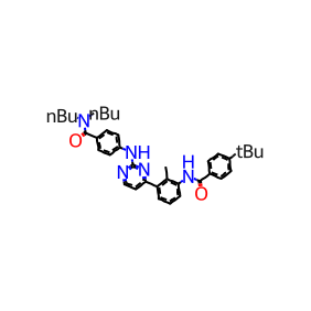 CCCCN(CCCC)C(=O)c1ccc(Nc2nccc(-c3cccc(NC(=O)c4ccc(C(C)(C)C)cc4)c3C)n2)cc1